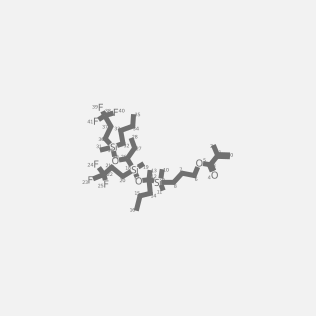 C=C(C)C(=O)OCCC[Si](C)(C)C(C)(CCC)O[Si](C)(CCC(F)(F)F)C(CC)O[Si](C)(CCCC)CCC(F)(F)F